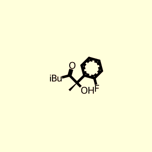 CCC(C)C(=O)[C@@](C)(O)c1ccccc1F